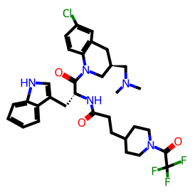 CN(C)C[C@@H]1Cc2cc(Cl)ccc2N(C(=O)[C@@H](Cc2c[nH]c3ccccc23)NC(=O)CCC2CCN(C(=O)C(F)(F)F)CC2)C1